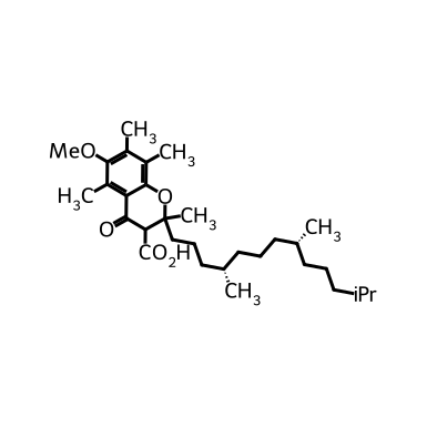 COc1c(C)c(C)c2c(c1C)C(=O)C(C(=O)O)C(C)(CCC[C@@H](C)CCC[C@H](C)CCCC(C)C)O2